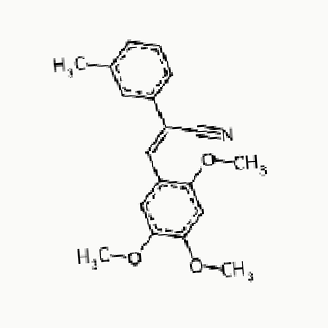 COc1cc(OC)c(OC)cc1C=C(C#N)c1cccc(C)c1